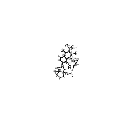 Cc1c(N2CC3(N)CCC4CC43C2)ccc2c(=O)c(C(=O)O)c(F)n([C@@H]3C[C@@H]3F)c12